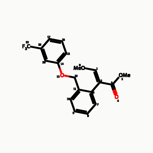 CO/C=C(/C(=O)OC)c1ccccc1COc1cccc(C(F)(F)F)c1